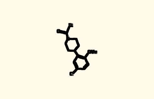 CCC(=O)N1CCC(c2cc(Cl)ccc2OC)CC1